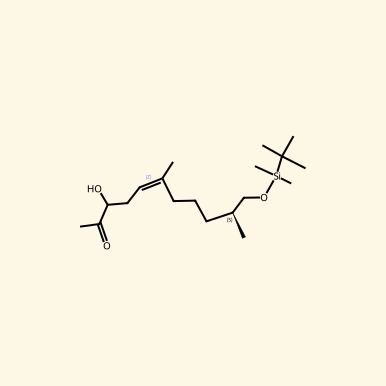 CC(=O)C(O)C/C=C(/C)CCC[C@H](C)CO[Si](C)(C)C(C)(C)C